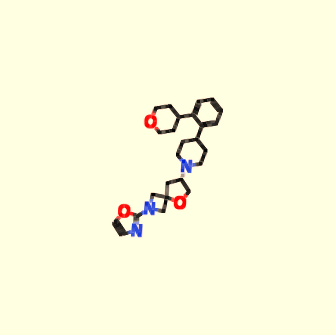 c1nc(N2CC3(C[C@H](N4CCC(c5ccccc5C5CCOCC5)CC4)CO3)C2)oc#1